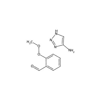 COOc1ccccc1C=O.Nc1c[nH]nn1